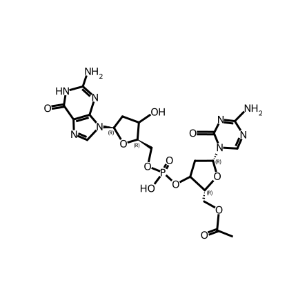 CC(=O)OC[C@H]1O[C@@H](n2cnc(N)nc2=O)CC1OP(=O)(O)OC[C@H]1O[C@@H](n2cnc3c(=O)[nH]c(N)nc32)CC1O